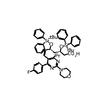 CC(C)c1nc(N2CCOCC2)nc(-c2ccc(F)cc2)c1C=C[C@H](C[C@H](CC(=O)O)O[Si](c1ccccc1)(c1ccccc1)C(C)(C)C)O[Si](c1ccccc1)(c1ccccc1)C(C)(C)C